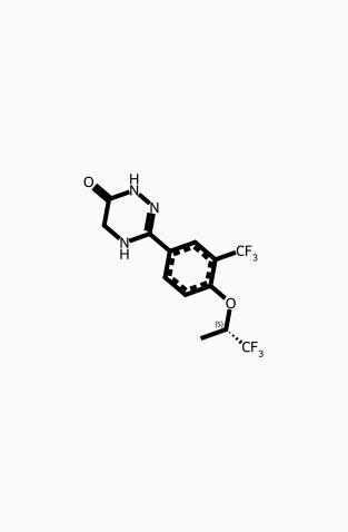 C[C@H](Oc1ccc(C2=NNC(=O)CN2)cc1C(F)(F)F)C(F)(F)F